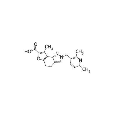 Cc1ccc(Cn2cc3c(n2)-c2c(oc(C(=O)O)c2C)CC3)c(C)n1